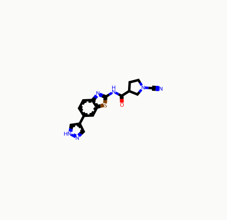 N#CN1CCC(C(=O)Nc2nc3ccc(-c4cn[nH]c4)cc3s2)C1